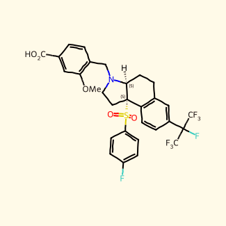 COc1cc(C(=O)O)ccc1CN1CC[C@]2(S(=O)(=O)c3ccc(F)cc3)c3ccc(C(F)(C(F)(F)F)C(F)(F)F)cc3CC[C@H]12